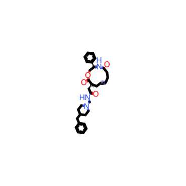 O=C(C[C@@H]1C/C=C/CCC(=O)N[C@H](c2ccccc2)COC1=O)NCN1CCC(Cc2ccccc2)CC1